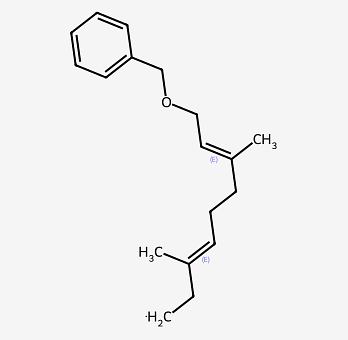 [CH2]C/C(C)=C/CC/C(C)=C/COCc1ccccc1